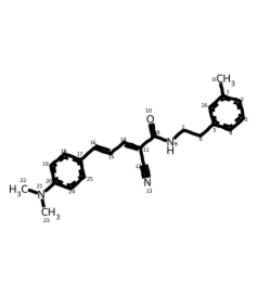 Cc1cccc(CCNC(=O)/C(C#N)=C/C=C/c2ccc(N(C)C)cc2)c1